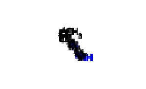 Cc1cccc(C)c1/C=C/C1CCN(CCN2CCNCC2)CC1